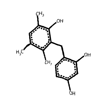 Cc1cc(C)c(O)c(Cc2ccc(O)cc2O)c1C